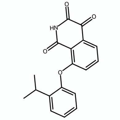 CC(C)c1ccccc1Oc1cccc2c1C(=O)NC(=O)C2=O